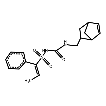 CC=C(c1ccccc1)S(=O)(=O)NC(=O)NCC1CC2C=CC1C2